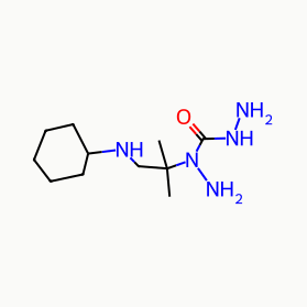 CC(C)(CNC1CCCCC1)N(N)C(=O)NN